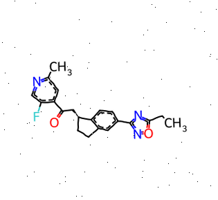 CCc1nc(-c2ccc3c(c2)CC[C@H]3CC(=O)c2cc(C)ncc2F)no1